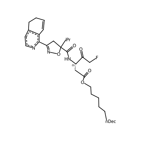 CCCCCCCCCCCCCCCOC(=O)C[C@H](NC(=O)C1(C(C)C)CC(c2nccc3c2C=CCC3)=NO1)C(=O)CF